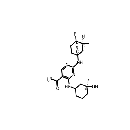 C[C@H]1CC2(Nc3ncc(C(N)=O)c(NC4CCC[C@](C)(O)C4)n3)CCC1(F)CC2